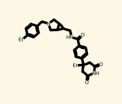 CCc1ccc(CN2CC3C(CNC(=O)c4ccc(C5(CC)CC(=O)NC(=O)C5)cc4)C3C2)cc1